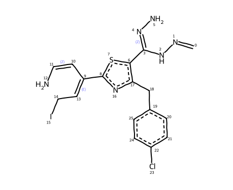 C=NN/C(=N\N)c1sc(C(/C=C\N)=C/CI)nc1Cc1ccc(Cl)cc1